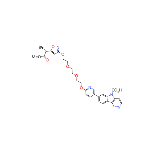 COC(=O)C(c1cc(OCCOCCOCCOc2ccc(-c3ccc4c5cnccc5n(C(=O)O)c4c3)cn2)no1)C(C)C